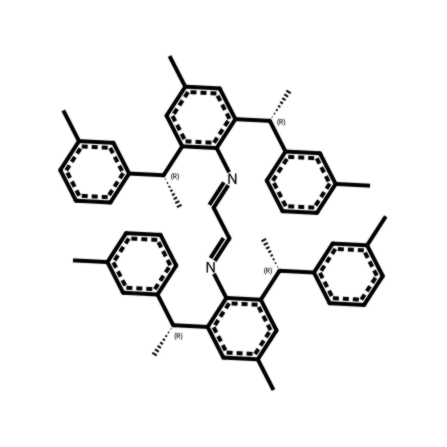 Cc1cccc([C@@H](C)c2cc(C)cc([C@H](C)c3cccc(C)c3)c2N=CC=Nc2c([C@H](C)c3cccc(C)c3)cc(C)cc2[C@H](C)c2cccc(C)c2)c1